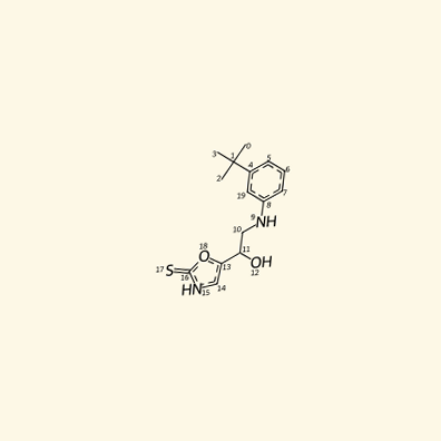 CC(C)(C)c1cccc(NCC(O)c2c[nH]c(=S)o2)c1